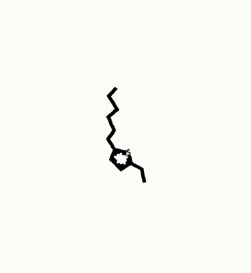 CCCCCCc1ccc(CC)s1